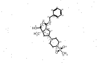 C[C@@]1(C(=O)O)C[C@H](N2CCN(S(C)(=O)=O)CC2)CN1C(=O)OCc1ccccc1